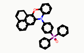 O=P(c1ccccc1)(c1ccccc1)c1ccc(N2c3ccccc3Oc3c2cc2cccc4c2c3CC=C4)cc1